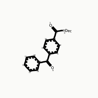 CCCCCCCCCCC(=O)c1ccc(C(=O)c2ccccc2)cc1